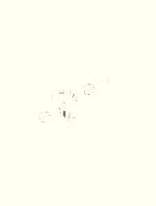 COc1ccc(CN(N)C[C@H](O)[C@@H](N)Cc2ccccc2)cc1.Cl.Cl.Cl